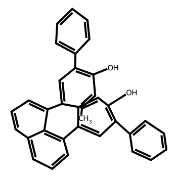 Cc1cc(O)c(-c2ccccc2)cc1-c1cccc2cccc(-c3ccc(O)c(-c4ccccc4)c3)c12